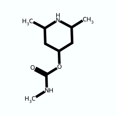 CNC(=O)OC1CC(C)NC(C)C1